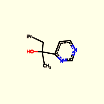 CC(C)CC(C)(O)c1ccncn1